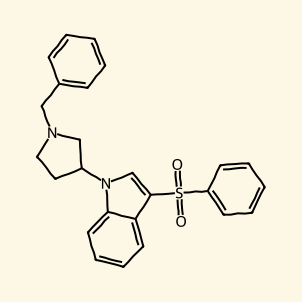 O=S(=O)(c1ccccc1)c1cn(C2CCN(Cc3ccccc3)C2)c2ccccc12